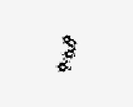 O=c1cc(CN2CCc3ccccc3C2)occ1OCc1ccccc1Cl